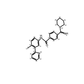 N=C(c1ccc(C(=O)Nc2ccc(I)c(-c3ccccn3)c2)cc1)N1CCCCC1